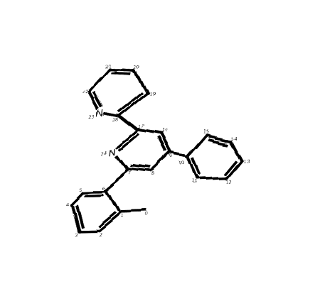 Cc1ccccc1-c1cc(-c2ccccc2)cc(-c2ccccn2)n1